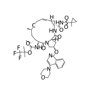 CC[C@@H]1C[C@@H](C)CC/C=C\[C@@H]2C[C@@]2(C(=O)NS(=O)(=O)C2(C)CC2)NC(=O)[C@@H]2C[C@@H](Oc3ncc(N4CCOCC4)c4ccccc34)CN2C(=O)[C@H]1NC(=O)OC(C)(C)C(F)(F)F